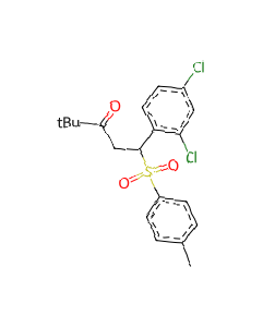 Cc1ccc(S(=O)(=O)C(CC(=O)C(C)(C)C)c2ccc(Cl)cc2Cl)cc1